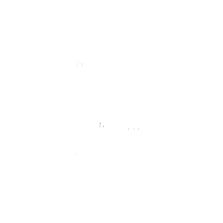 O=C(O)C1COCCN1c1cccc(Br)c1